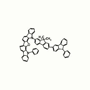 CC1(C)c2cc(-c3ccc4c(c3)-c3ccccc3C4c3ccccc3)ccc2-c2ccc(-n3c4ccccc4c4ccc5c6ccc7c8ccccc8n(-c8ccccc8)c7c6oc5c43)cc21